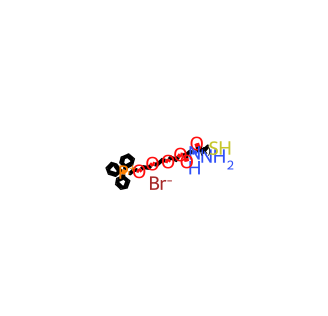 N[C@@H](CS)C(=O)NCC(=O)OCCOCCOCCOCC[P+](c1ccccc1)(c1ccccc1)c1ccccc1.[Br-]